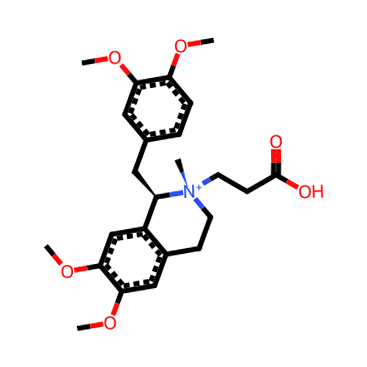 COc1ccc(C[C@@H]2c3cc(OC)c(OC)cc3CC[N@@+]2(C)CCC(=O)O)cc1OC